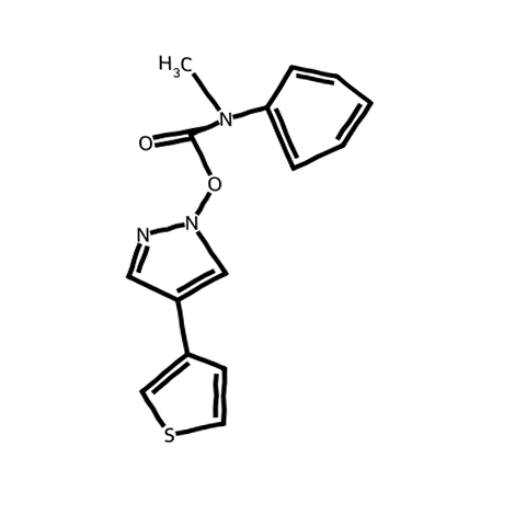 CN(C(=O)On1cc(-c2ccsc2)cn1)c1ccccc1